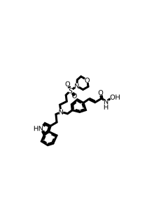 O=C(/C=C/c1ccc(CN(CCCS(=O)(=O)N2CCOCC2)CCc2c[nH]c3ccccc23)cc1)NO